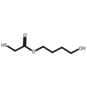 O=C(CS)OCCCCO